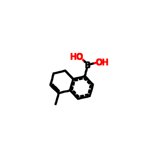 CC1=CCCc2c(B(O)O)cccc21